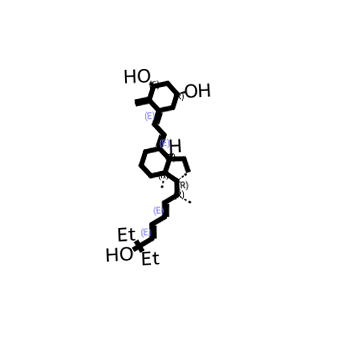 C=C1/C(=C/C=C2\CCC[C@]3(C)[C@@H]([C@H](C)/C=C/C=C/C(O)(CC)CC)CC[C@@H]23)C[C@@H](O)C[C@@H]1O